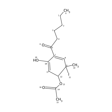 CCCCCC(=O)C1=CC(C)(I)C(OC(C)=O)C=C1O